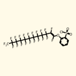 O=S(=O)(Cl)c1ccccc1OC(F)=C(F)C(F)(F)C(F)(F)C(F)(F)C(F)(F)C(F)(F)C(F)(F)C(F)(F)C(F)(F)C(F)(F)C(F)(F)F